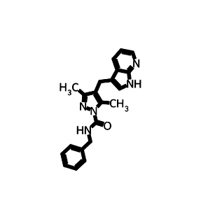 Cc1nn(C(=O)NCc2ccccc2)c(C)c1Cc1c[nH]c2ncccc12